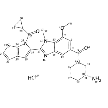 COc1cc(C(=O)N2CCC[C@@H](N)C2)cc2nc(-c3cc4ccsc4n3C(=O)C3CC3)n(C)c12.Cl